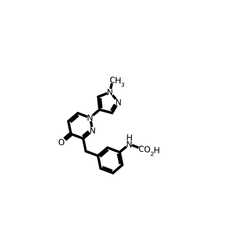 Cn1cc(-n2ccc(=O)c(Cc3cccc(NC(=O)O)c3)n2)cn1